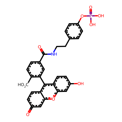 O=C(NCCc1ccc(OP(=O)(O)O)cc1)c1ccc(C(=O)O)c(-c2c3ccc(=O)cc-3oc3cc(O)ccc23)c1